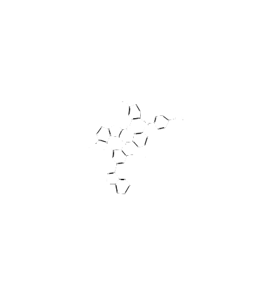 Cc1cc(-c2csc3ccccc23)cc(C)c1N1c2cccc3c2B(c2cc(C(C)(C)C)ccc2N3c2ccc(C(C)(C)C)cc2)c2oc3ccc(C(C)(C)C)cc3c21